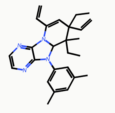 C=CC1=CC(C=C)(CC)C(C)(CC)C2N1c1nccnc1N2c1cc(C)cc(C)c1